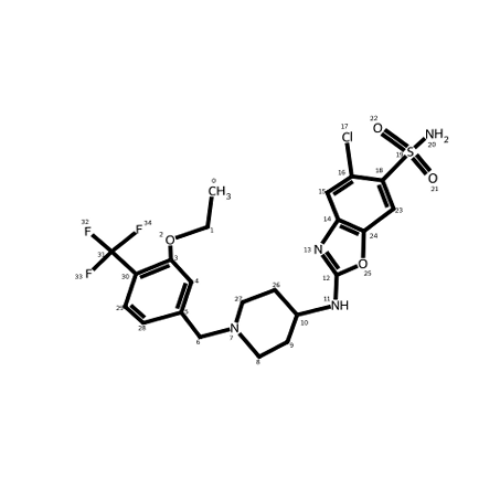 CCOc1cc(CN2CCC(Nc3nc4cc(Cl)c(S(N)(=O)=O)cc4o3)CC2)ccc1C(F)(F)F